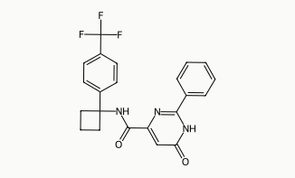 O=C(NC1(c2ccc(C(F)(F)F)cc2)CCC1)c1cc(=O)[nH]c(-c2ccccc2)n1